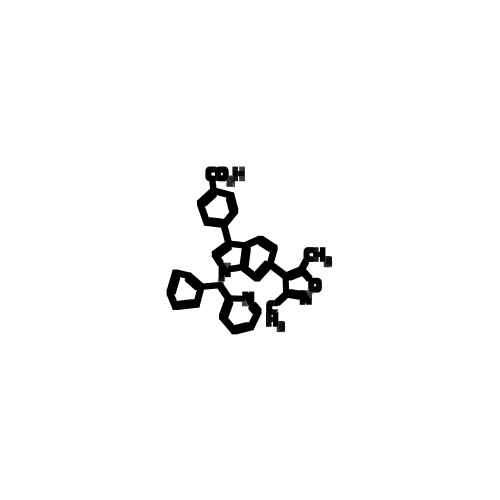 Cc1noc(C)c1-c1ccc2c(-c3ccc(C(=O)O)cc3)cn([C@@H](c3ccccc3)c3ccccn3)c2c1